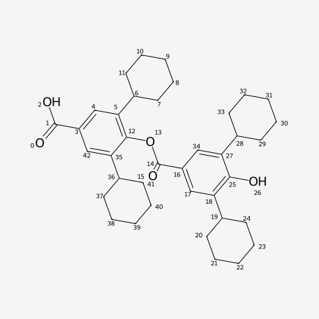 O=C(O)c1cc(C2CCCCC2)c(OC(=O)c2cc(C3CCCCC3)c(O)c(C3CCCCC3)c2)c(C2CCCCC2)c1